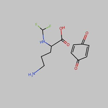 NCCCC(NC(F)F)C(=O)O.O=C1C=CC(=O)C=C1